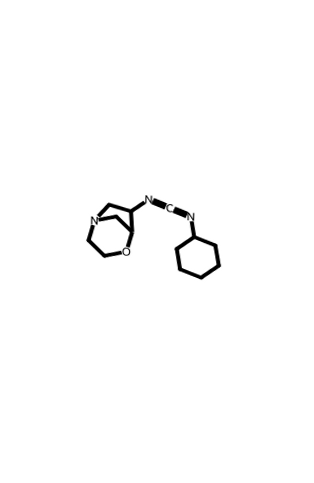 C(=NC1CCCCC1)=NC1CN2CCOC1C2